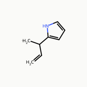 [CH2]C(C=C)c1ccc[nH]1